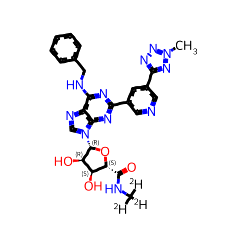 [2H]C([2H])([2H])NC(=O)[C@H]1O[C@@H](n2cnc3c(NCc4ccccc4)nc(-c4cncc(-c5nnn(C)n5)c4)nc32)[C@H](O)[C@@H]1O